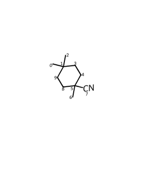 CC1(C)CCC(C)(C#N)CC1